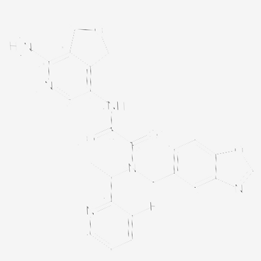 CC(c1ncccc1F)N(Cc1ccc2ocnc2c1)C(=O)C(=O)Nc1cnc(N)c2c1COC2